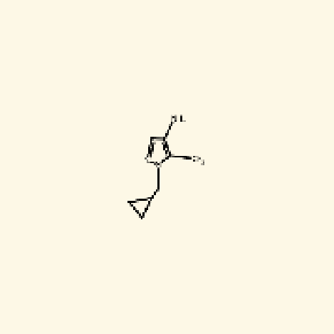 Nc1cnn(CC2CC2)c1C(F)(F)F